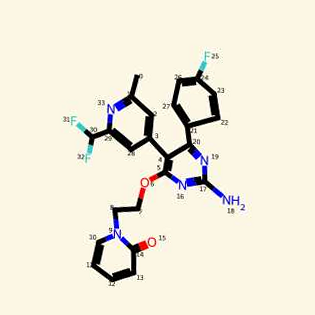 Cc1cc(-c2c(OCCn3ccccc3=O)nc(N)nc2-c2ccc(F)cc2)cc(C(F)F)n1